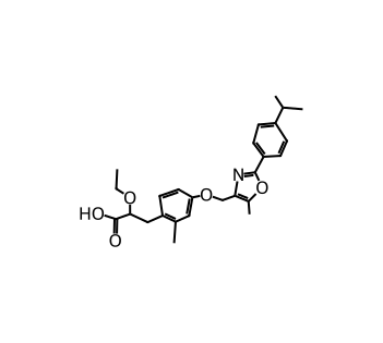 CCOC(Cc1ccc(OCc2nc(-c3ccc(C(C)C)cc3)oc2C)cc1C)C(=O)O